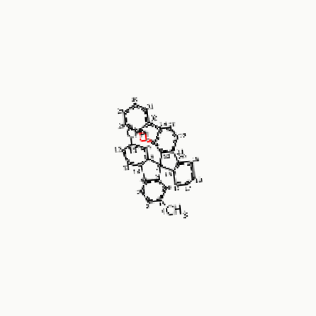 Cc1ccc2c(c1)C1(c3cc(C)ccc3-2)c2ccccc2-c2ccc3c(oc4ccccc43)c21